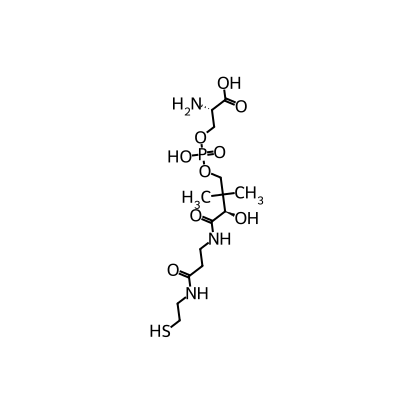 CC(C)(COP(=O)(O)OC[C@H](N)C(=O)O)[C@@H](O)C(=O)NCCC(=O)NCCS